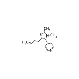 C=CCCC1=C(c2ccncc2)N(C)C(=C)S1